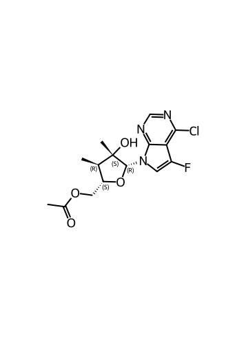 CC(=O)OC[C@H]1O[C@@H](n2cc(F)c3c(Cl)ncnc32)[C@@](C)(O)[C@@H]1C